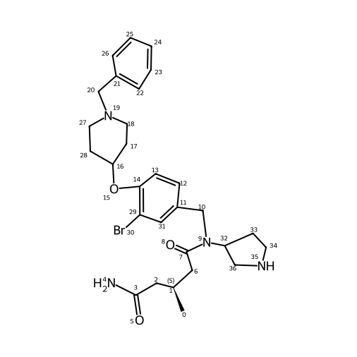 C[C@@H](CC(N)=O)CC(=O)N(Cc1ccc(OC2CCN(Cc3ccccc3)CC2)c(Br)c1)C1CCNC1